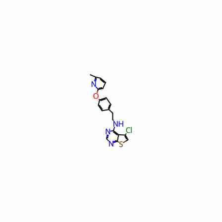 Cc1cccc(Oc2ccc(CCNc3ncnc4scc(Cl)c34)cc2)n1